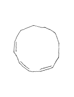 C1=CC=CCCCCCCC=C1